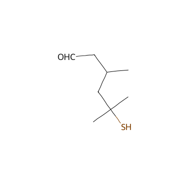 CC(CC=O)CC(C)(C)S